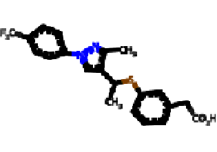 Cc1nn(-c2ccc(C(F)(F)F)cc2)cc1C(C)Sc1cccc(CC(=O)O)c1